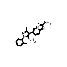 Cc1ccccc1-n1nc(C)c(-c2ccc3nc(N)nn3c2)c1N